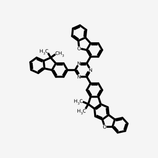 CC1(C)c2ccccc2-c2ccc(-c3nc(-c4ccc5c(c4)C(C)(C)c4cc6oc7ccccc7c6cc4-5)nc(-c4cccc5c4oc4ccccc45)n3)cc21